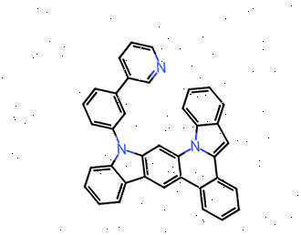 c1cncc(-c2cccc(-n3c4ccccc4c4cc5c6ccccc6c6cc7ccccc7n6c5cc43)c2)c1